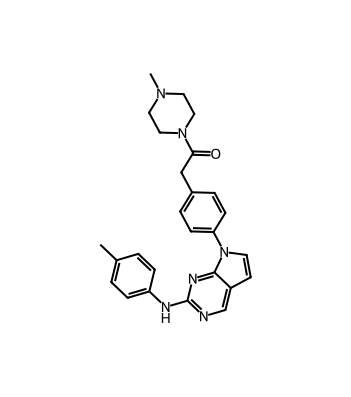 Cc1ccc(Nc2ncc3ccn(-c4ccc(CC(=O)N5CCN(C)CC5)cc4)c3n2)cc1